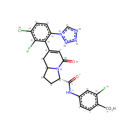 O=C(O)c1ccc(NC(=O)[C@@H]2CCC3CC(c4c(-n5cnnn5)ccc(Cl)c4F)=CC(=O)N32)cc1F